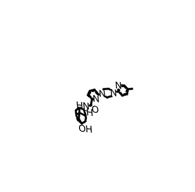 Cc1ccc(N2CCN(c3cccc(C(=O)N[C@H]4C5CC6CC4C[C@](O)(C6)C5)n3)CC2)nc1